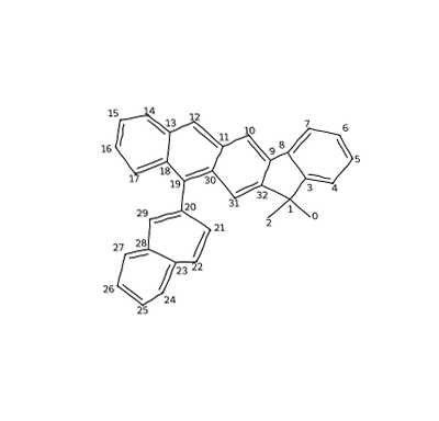 CC1(C)c2ccccc2-c2cc3cc4ccccc4c(-c4ccc5ccccc5c4)c3cc21